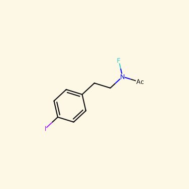 CC(=O)N(F)CCc1ccc(I)cc1